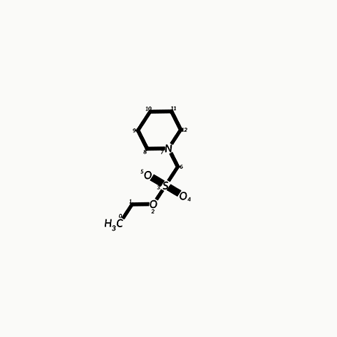 CCOS(=O)(=O)CN1CCCCC1